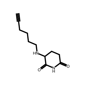 C#CCCCCNC1CCC(=O)NC1=O